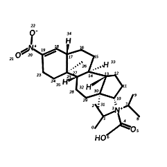 CC(C)[N+](C(=O)O)(C(C)C)[C@H]1CC[C@H]2[C@@H]3CC[C@H]4C=C([N+](=O)[O-])CC[C@]4(C)[C@H]3CC[C@@]21C